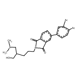 CC(=O)c1ccc(-c2ccc3c(c2)C(=O)N(CCCC(CO)CN(C)C)C3=O)cc1C(C)=O